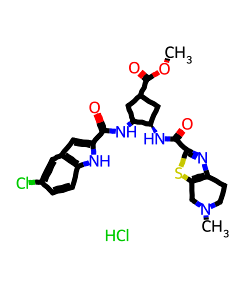 COC(=O)C1CC(NC(=O)c2cc3cc(Cl)ccc3[nH]2)[C@H](NC(=O)c2nc3c(s2)CN(C)CC3)C1.Cl